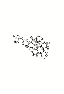 CC(C)OC(=O)Oc1c2n(ccc1=O)N([C@@H]1c3ccccc3N3CCOCC3c3c1ccc(F)c3F)[C@@H]1COCCN1C2=O